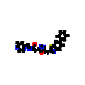 O=C(Cc1nnc(Cc2nc3ccc(-c4ccccc4)cc3s2)o1)NCc1ccncc1